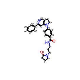 O=C(NCCCN1CCCC1=O)c1ccc(N2CCc3cnc(-c4ccccc4)cc32)cc1